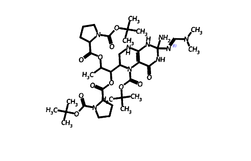 CC(OC(=O)C1CCCN1C(=O)OC(C)(C)C)C(OC(=O)C1CCCN1C(=O)OC(C)(C)C)C1CNC2=C(C(=O)NC(N)(/N=C/N(C)C)N2)N1C(=O)OC(C)(C)C